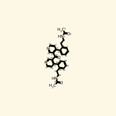 CC(=O)NCCc1ccccc1-c1ccncc1C(=O)c1cnccc1-c1ccccc1CCNC(C)=O